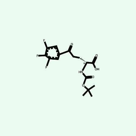 CC(C)(C)OC(=O)N[C@H](CCC(=O)c1cc(F)c(F)c(F)c1)C(=O)O